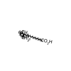 CC1=C(CCCCCCCCCCCCCCC(=O)O)C(C)(C)CCC1=O